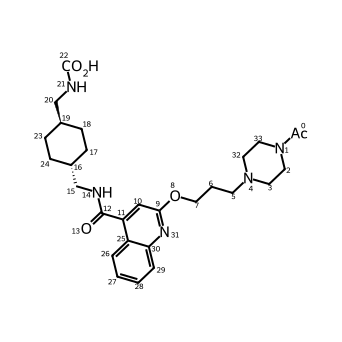 CC(=O)N1CCN(CCCOc2cc(C(=O)NC[C@H]3CC[C@H](CNC(=O)O)CC3)c3ccccc3n2)CC1